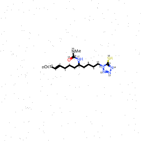 CCCCCCCCC=CCCCC(CCCCn1nnnc1S)NC(=O)NC